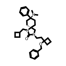 CN(C)[C@]1(c2ccccc2)CC[C@]2(CC1)CN(CCC1(OCc3ccccc3)CCC1)C(=O)N2CC1CCC1